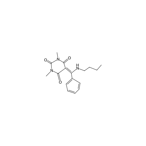 CCCCNC(=C1C(=O)N(C)C(=O)N(C)C1=O)c1ccccc1